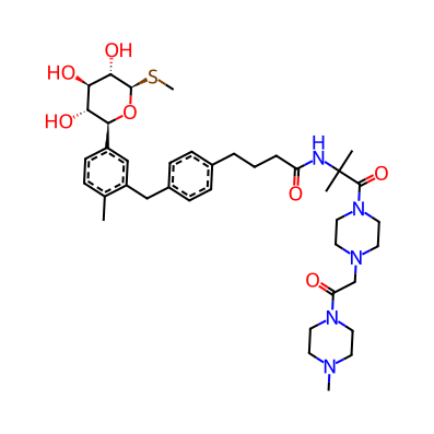 CS[C@H]1O[C@@H](c2ccc(C)c(Cc3ccc(CCCC(=O)NC(C)(C)C(=O)N4CCN(CC(=O)N5CCN(C)CC5)CC4)cc3)c2)[C@H](O)[C@@H](O)[C@@H]1O